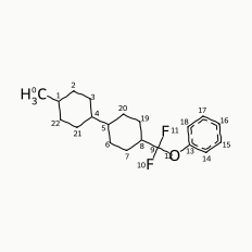 CC1CCC(C2CCC(C(F)(F)Oc3ccccc3)CC2)CC1